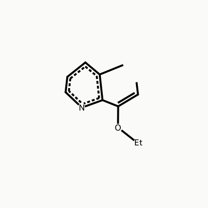 C/C=C(/OCC)c1ncccc1C